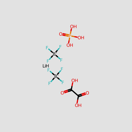 F[B-](F)(F)F.F[B-](F)(F)F.O=C(O)C(=O)O.O=P(O)(O)O.[LiH]